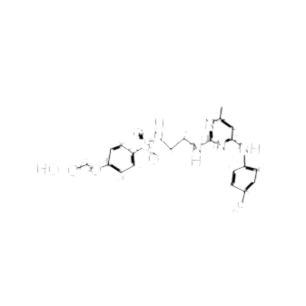 Cc1cc(Nc2ccc(F)cc2)nc(NCCNS(=O)(=O)c2ccc(OCC(=O)O)cc2)n1